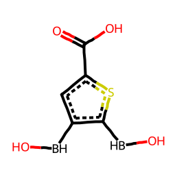 O=C(O)c1cc(BO)c(BO)s1